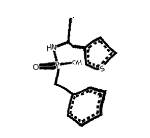 [CH2]C(NP(=O)(O)Cc1ccccc1)c1ccsc1